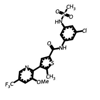 COc1cc(C(F)(F)F)cnc1-c1cc(C(=O)Nc2cc(Cl)cc(NS(C)(=O)=O)c2)sc1C